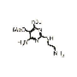 CCCCc1nc(NCCN)nc(N)c1OC